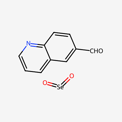 O=Cc1ccc2ncccc2c1.O=[Se]=O